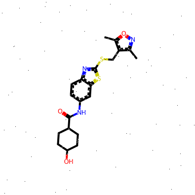 Cc1noc(C)c1CSc1nc2ccc(NC(=O)C3CCC(O)CC3)cc2s1